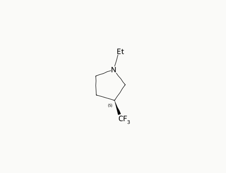 CCN1CC[C@H](C(F)(F)F)C1